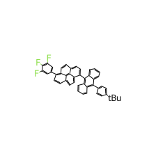 CC(C)(C)c1ccc(-c2c3ccccc3c(-c3ccc4ccc5c(-c6cc(F)c(F)c(F)c6)ccc6ccc3c4c65)c3ccccc23)cc1